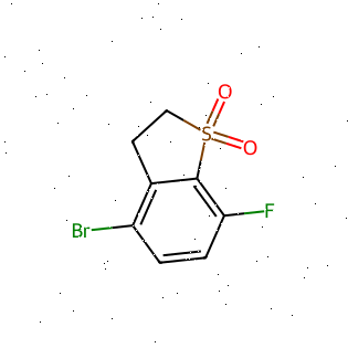 O=S1(=O)CCc2c(Br)ccc(F)c21